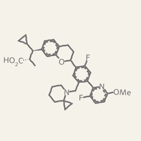 COc1ccc(F)c(-c2cc(F)c(C3CCc4ccc([C@H](C5CC5)[C@H](C)C(=O)O)cc4O3)cc2CN2CCCCC23CC3)n1